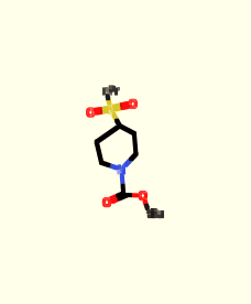 CCCS(=O)(=O)C1CCN(C(=O)OC(C)(C)C)CC1